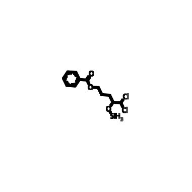 O=C(OCCCC(O[SiH3])C(Cl)Cl)c1ccccc1